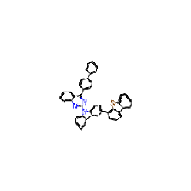 c1ccc(-c2ccc(-c3nc(-n4c5ccccc5c5cc(-c6cccc7c6sc6ccccc67)ccc54)nc4ccccc34)cc2)cc1